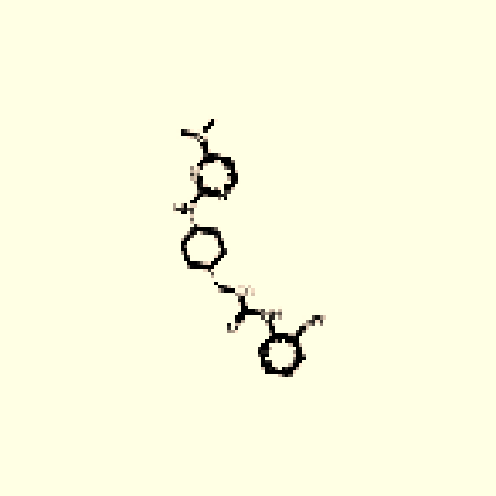 CCCc1ccccc1NC(=O)NC[C@H]1CC[C@@H](Nc2nccc(N(C)C)n2)CC1